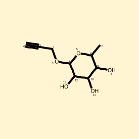 C#CCOC1OC(C)C(O)C(O)C1O